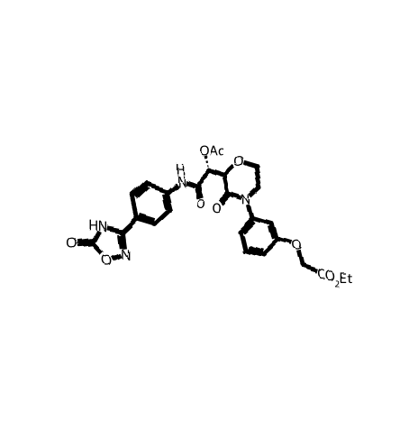 CCOC(=O)COc1cccc(N2CCOC([C@@H](OC(C)=O)C(=O)Nc3ccc(-c4noc(=O)[nH]4)cc3)C2=O)c1